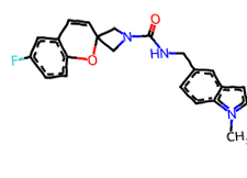 Cn1ccc2cc(CNC(=O)N3CC4(C=Cc5cc(F)ccc5O4)C3)ccc21